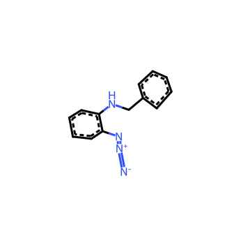 [N-]=[N+]=Nc1ccccc1NCc1ccccc1